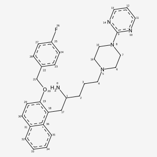 NC(CCCN1CCN(c2ncccn2)CC1)Cc1c(OCc2ccc(F)cc2)ccc2ccccc12